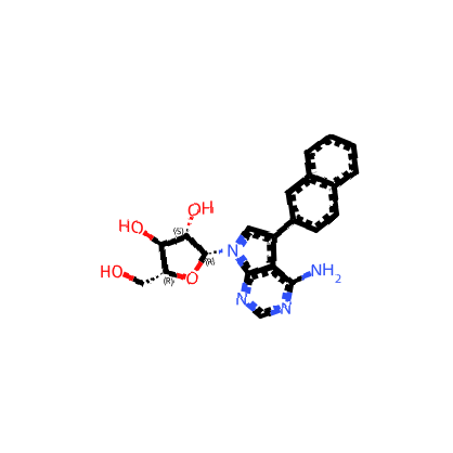 Nc1ncnc2c1c(-c1ccc3ccccc3c1)cn2[C@@H]1O[C@H](CO)C(O)[C@@H]1O